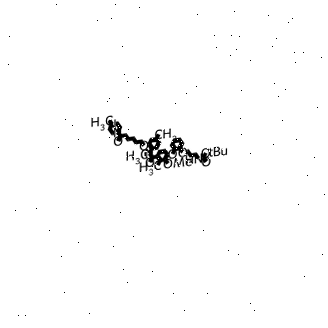 COc1c(Oc2ccccc2OCCCNC(=O)OC(C)(C)C)ccc(C(=O)N(C)c2ccc(C)cc2OCCCCCC(=O)N2CCN(C)CC2)c1C